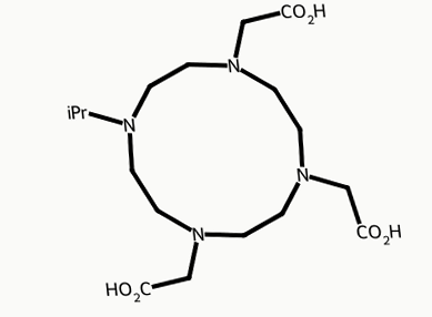 CC(C)N1CCN(CC(=O)O)CCN(CC(=O)O)CCN(CC(=O)O)CC1